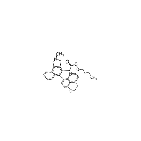 CCCCOOC(=O)Cc1c2c(c3ccccc3c1-c1ccc3c4c(ccnc14)CCO3)CN(C)C2